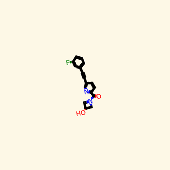 O=C(c1ccc(C#Cc2cccc(F)c2)cn1)N1CC(O)C1